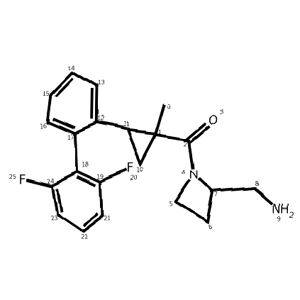 CC1(C(=O)N2CCC2CN)CC1c1ccccc1-c1c(F)cccc1F